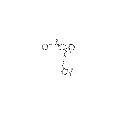 O=C(CCc1ccccc1)N1CCC(C(=O)/C=C/CCCc2cccc(C(F)(F)F)c2)(c2ccccc2)CC1